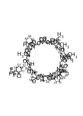 CC[C@H](C)[C@@H]1NC(=O)[C@H](CC(C)C)N(C)C(=O)C[C@@H](C(=O)N2CCCCC2)N(C)C(=O)[C@H](C2CCCCC2)N(C)C(=O)C2(CCCC2)NC(=O)CN(CC2COC2)C(=O)[C@H](CCc2ccc(C(F)(F)F)c(Cl)c2)NC(=O)CN(C)C(=O)[C@H](CC2CCCCC2)N(C)C(=O)CN(C)C(=O)CN(C)C1=O